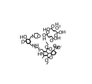 CCOC(=O)C1=C(C)NC(CSCCNCc2cc(CN3CCOCC3)c(O)c(OC)c2)=C(C(=O)OCC)C1c1cccc([N+](=O)[O-])c1.O.O=C(O)C=CC(=O)O.O=C(O)C=CC(=O)O